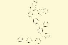 c1ccc(-c2ccc(-c3cccc(-n4c5ccccc5c5c6c7ccccc7n(-c7ccc8c9ccccc9n(-c9nc%10ccccc%10nc9-c9cccc%10ccccc9%10)c8c7)c6ccc54)c3)cc2)cc1